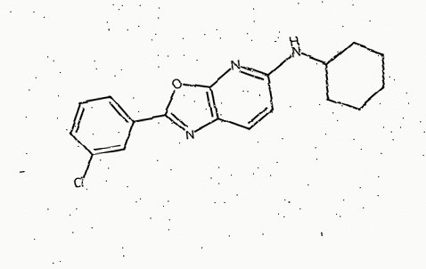 Clc1cccc(-c2nc3ccc(NC4CCCCC4)nc3o2)c1